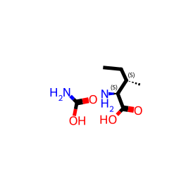 CC[C@H](C)[C@H](N)C(=O)O.NC(=O)O